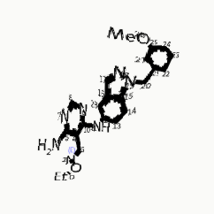 CCO/N=C/c1c(N)ncnc1Nc1ccc2c(cnn2Cc2cccc(OC)c2)c1